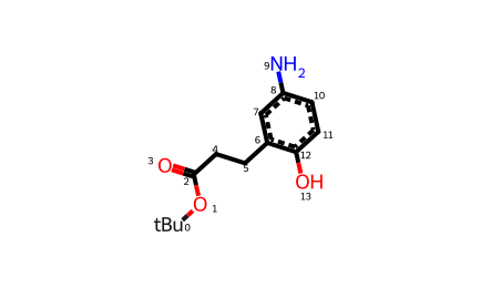 CC(C)(C)OC(=O)CCc1cc(N)ccc1O